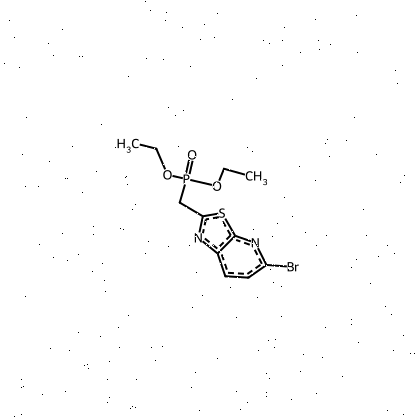 CCOP(=O)(Cc1nc2ccc(Br)nc2s1)OCC